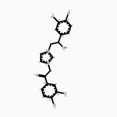 O=C(C[n+]1ccn(CC(O)c2ccc(Cl)c(Cl)c2)c1)c1ccc(Cl)c(Cl)c1